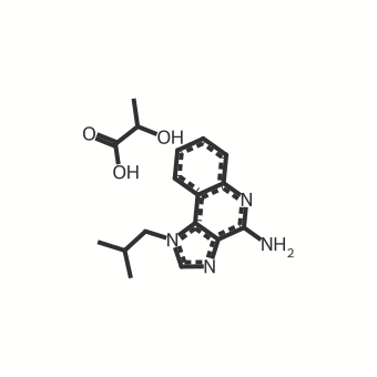 CC(C)Cn1cnc2c(N)nc3ccccc3c21.CC(O)C(=O)O